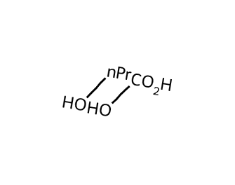 O=C(O)O.[CH2]CCO